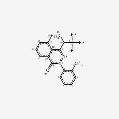 Cc1ccccc1-n1nc(C(C)C(F)(F)F)c2c(F)cccc2c1=O